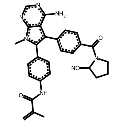 C=C(C)C(=O)Nc1ccc(-c2c(-c3ccc(C(=O)N4CCCC4C#N)cc3)c3c(N)ncnc3n2C)cc1